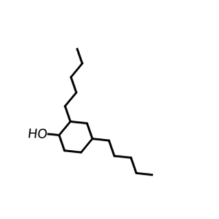 CCCCCC1CCC(O)C(CCCCC)C1